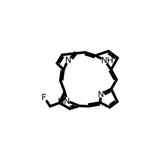 FCc1cc2cc3nc(cc4ccc(cc5nc(cc1[nH]2)C=C5)[nH]4)C=C3